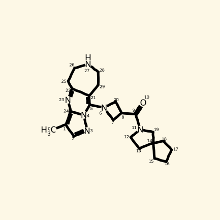 Cc1cnn2c(N3CC(C(=O)N4CCC5(CCCC5)C4)C3)c3c(nc12)CCNCC3